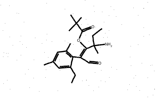 CCc1cc(C)cc(C)c1/C(C=O)=C(\OC(=O)C(C)(C)C)C(C)(N)CC